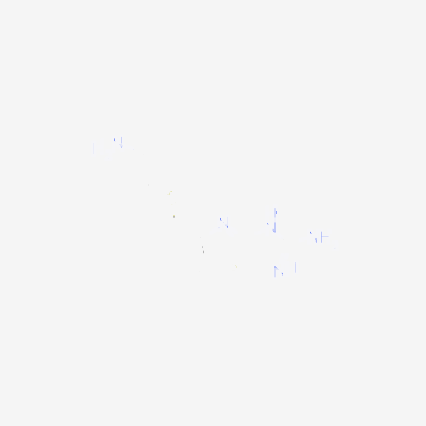 Cc1sc(NC(=N)N)nc1CSCCN